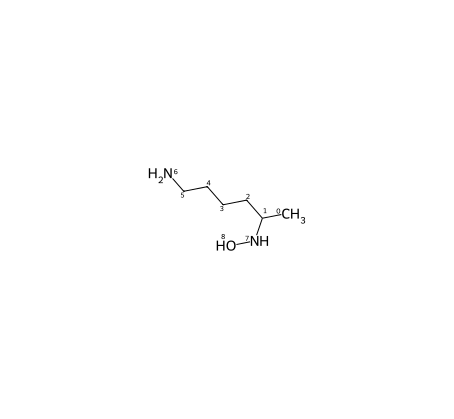 CC(CCCCN)NO